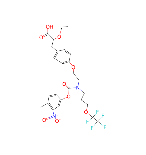 CCOC(Cc1ccc(OCCN(CCCOC(F)(F)C(F)(F)F)C(=O)Oc2ccc(C)c([N+](=O)[O-])c2)cc1)C(=O)O